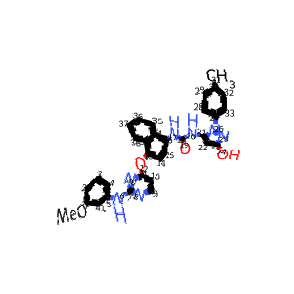 COc1cccc(Nc2nccc(Oc3ccc(NC(=O)Nc4cc(O)nn4-c4ccc(C)cc4)c4ccccc34)n2)c1